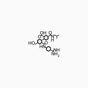 CC(C)CNC(=O)c1ccc(-c2ccc(CO)cc2C(=O)Nc2ccc(C(=N)N)cc2)c(C(=O)O)c1